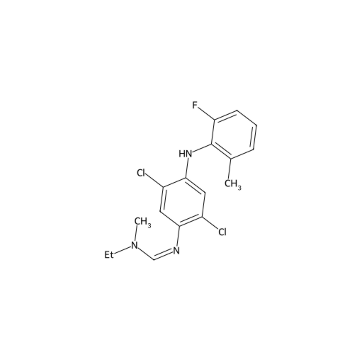 CCN(C)/C=N\c1cc(Cl)c(Nc2c(C)cccc2F)cc1Cl